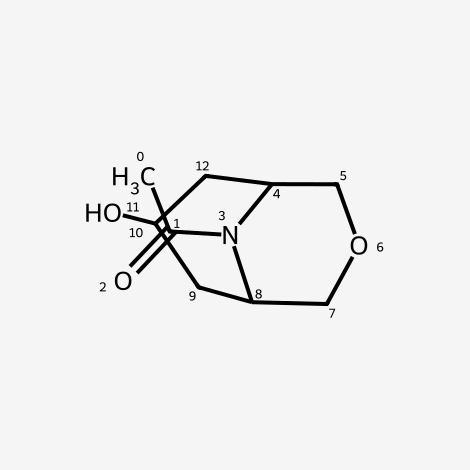 CC(=O)N1C2COCC1CC(O)C2